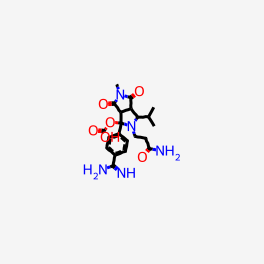 CC(C)C1C2C(=O)N(C)C(=O)C2C(OC(=O)O)(c2ccc(C(=N)N)cc2)N1CCC(N)=O